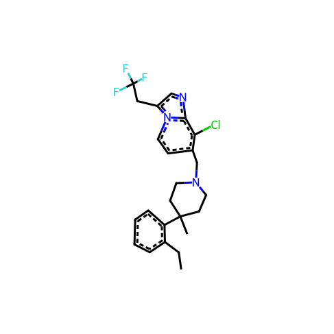 CCc1ccccc1C1(C)CCN(Cc2ccn3c(CC(F)(F)F)cnc3c2Cl)CC1